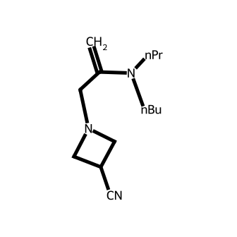 C=C(CN1CC(C#N)C1)N(CCC)CCCC